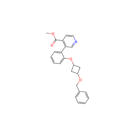 COC(=O)c1ccncc1-c1ccccc1OC1CC(OCc2ccccc2)C1